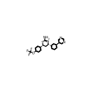 NC1=N[C@H](c2cccc(-c3cncnc3)c2)C[C@@H](c2ccc(OC(F)(F)F)cc2)S1